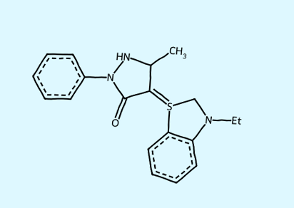 CCN1CS(=C2C(=O)N(c3ccccc3)NC2C)c2ccccc21